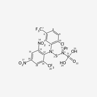 CC(C)N(SN(c1cc(C(F)(F)F)ccc1Cl)c1c([N+](=O)[O-])cc([N+](=O)[O-])cc1C(F)(F)F)P(=O)(O)O